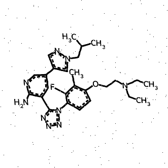 CCN(CC)CCOc1ccc(-n2nnnc2-c2cc(-c3cnn(CC(C)C)c3)cnc2N)c(F)c1C